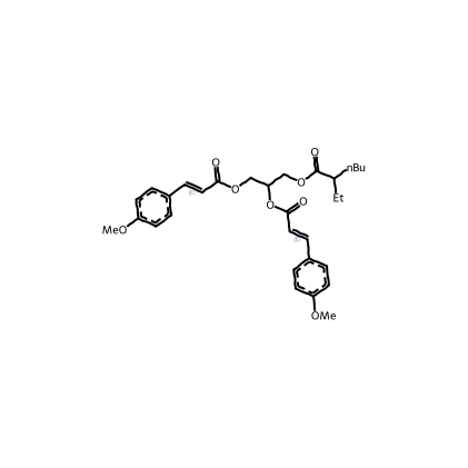 CCCCC(CC)C(=O)OCC(COC(=O)/C=C/c1ccc(OC)cc1)OC(=O)/C=C/c1ccc(OC)cc1